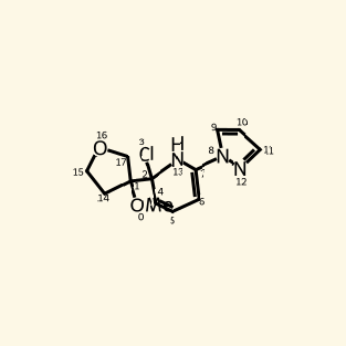 COC1(C2(Cl)C=CC=C(n3cccn3)N2)CCOC1